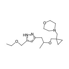 CCOCc1cc(CC(C)OCC2(CN3CCOCC3)CC2)n[nH]1